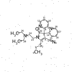 CCSC1=C(C#N)C(c2ccccn2)(c2ccccn2)C(=O)N1CCN(CC)CC